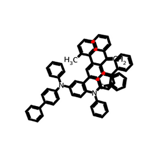 C=C(c1ccccc1)c1c(-c2ccccc2C)cc(-c2cc(N(c3ccccc3)c3ccc(-c4ccccc4)cc3)ccc2N(c2ccccc2)c2ccc(-c3ccccc3)cc2)c2sc3ccccc3c12